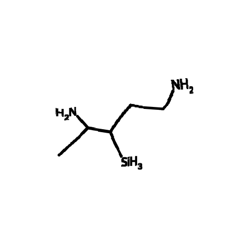 CC(N)C([SiH3])CCN